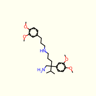 COc1ccc(CCCNCCCC(CN)(c2ccc(OC)c(OC)c2)C(C)C)cc1OC